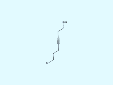 CCCCCCC#CCCCBr